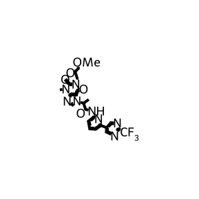 COCC(=O)Cn1c(=O)c2c(ncn2C(C)C(=O)Nc2cccc(-c3cnc(C(F)(F)F)nc3)n2)n(C)c1=O